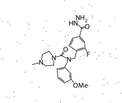 COc1cccc(N(Cc2ccc(C(=O)NN)cc2F)C(=O)N2CCN(C)CC2)c1